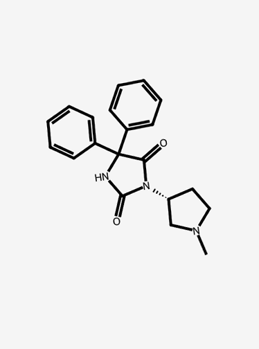 CN1CC[C@@H](N2C(=O)NC(c3ccccc3)(c3ccccc3)C2=O)C1